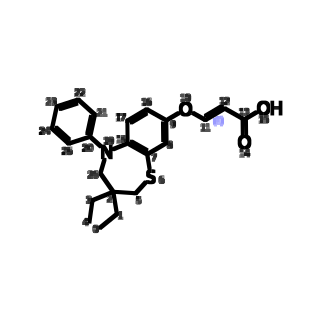 CCC1(CC)CSc2cc(O/C=C/C(=O)O)ccc2N(c2ccccc2)C1